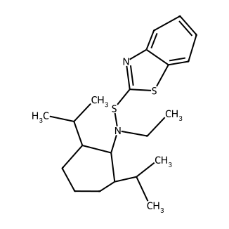 CCN(Sc1nc2ccccc2s1)C1C(C(C)C)CCCC1C(C)C